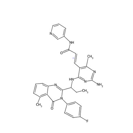 CCC(Nc1nc(N)nc(C)c1/C=C/C(=O)Nc1cccnc1)c1nc2cccc(C)c2c(=O)n1-c1ccc(F)cc1